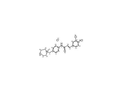 C[N+]1(Cc2ccc(NC(=O)/C=C/c3ccc(Cl)c(Cl)c3)cc2)CCOCC1.[Cl-]